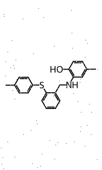 Cc1ccc(Sc2ccccc2CNc2cc(C)ccc2O)cc1